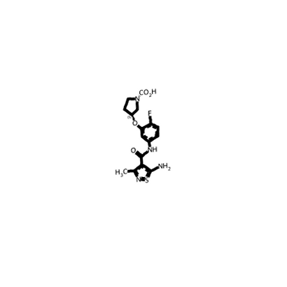 Cc1nsc(N)c1C(=O)Nc1ccc(F)c(O[C@H]2CCN(C(=O)O)C2)c1